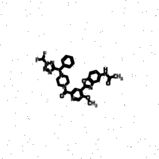 COc1cnc(C(=O)N2CCN(C(c3ccccc3)c3nnn(C(F)F)n3)CC2)cc1-c1nc2cc(NC(C)=O)ccc2o1